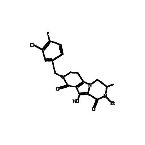 CCN1C(=O)c2c(O)c3c(n2CC1C)CCN(Cc1ccc(F)c(Cl)c1)C3=O